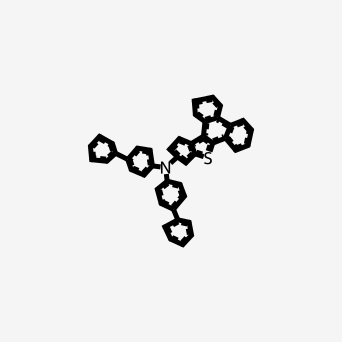 c1ccc(-c2ccc(N(c3ccc(-c4ccccc4)cc3)c3ccc4c(c3)sc3c5ccccc5c5ccccc5c43)cc2)cc1